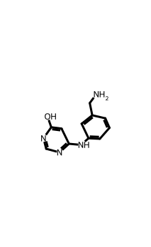 NCc1cccc(Nc2cc(O)ncn2)c1